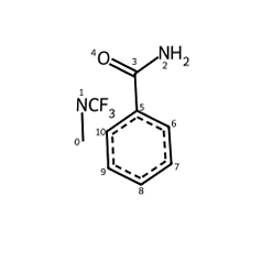 CNC(F)(F)F.NC(=O)c1ccccc1